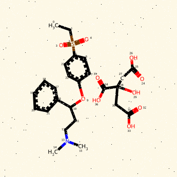 CCS(=O)(=O)c1ccc(OC(CCN(C)C)c2ccccc2)cc1.O=C(O)CC(O)(CC(=O)O)C(=O)O